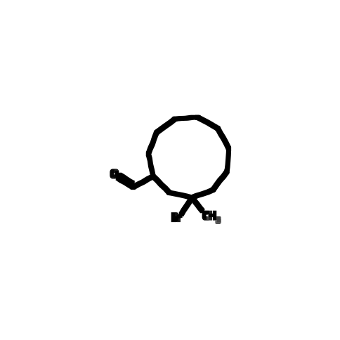 CC1(Br)CCCCCCCCC(C=O)C1